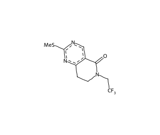 CSc1ncc2c(n1)CCN(CC(F)(F)F)C2=O